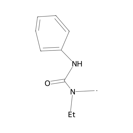 [CH2]N(CC)C(=O)Nc1ccccc1